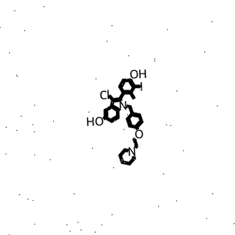 Cc1c(-c2c(Cl)c3cc(O)ccc3n2Cc2ccc(OCCN3CCCCC3)cc2)ccc(O)c1I